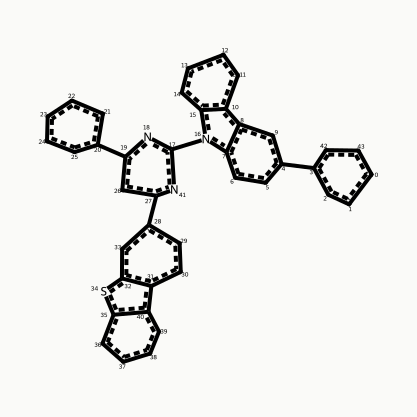 c1ccc(-c2ccc3c(c2)c2ccccc2n3-c2nc(-c3ccccc3)cc(-c3ccc4c(c3)sc3ccccc34)n2)cc1